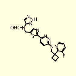 O=CN(Cc1cnc(-c2ccc(NCC3(c4ncccc4F)CCC3)nn2)s1)c1cn[nH]n1